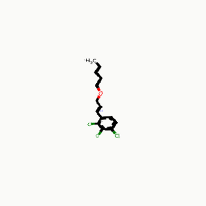 [CH2]CCCCOC/C=C/c1ccc(Cl)c(Cl)c1Cl